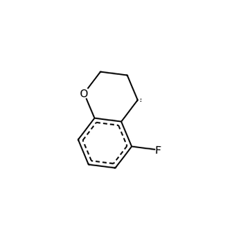 Fc1cccc2c1[C]CCO2